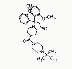 COc1ccccc1C(CC=O)(c1ccccc1OC)N1CCC(C(=O)N2CCN(C(C)(C)C)CC2)CC1